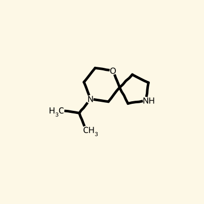 CC(C)N1CCOC2(CCNC2)C1